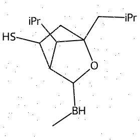 CBC1OC2(CC(C)C)CC(S)C1C2C(C)C